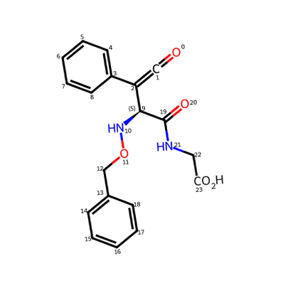 O=C=C(c1ccccc1)[C@H](NOCc1ccccc1)C(=O)NCC(=O)O